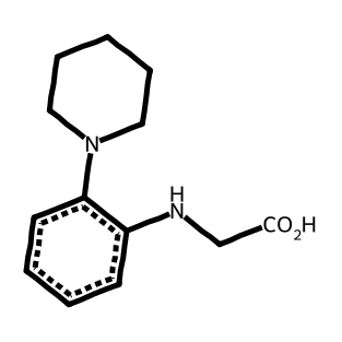 O=C(O)CNc1ccccc1N1CCCCC1